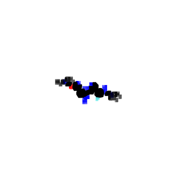 CN(C)CCNc1cc(F)cc(-c2ccnc3[nH]c(-c4n[nH]c5ccc(-c6cncc(OCCN(C)C)c6)cc45)cc23)c1